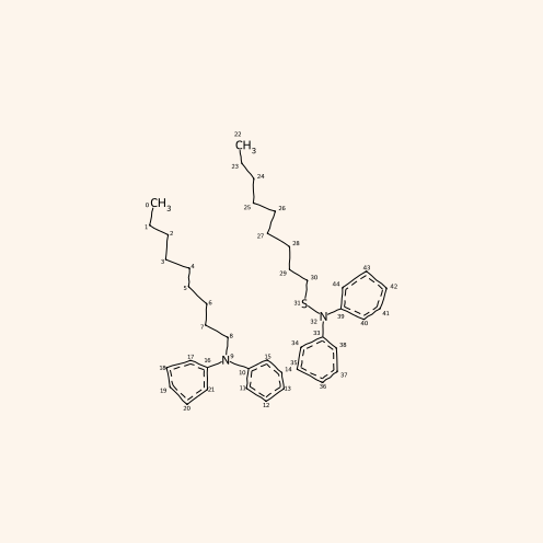 CCCCCCCCCN(c1ccccc1)c1ccccc1.CCCCCCCCCSN(c1ccccc1)c1ccccc1